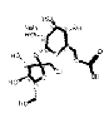 O=C(O)OC[C@H]1O[C@H](O[C@]2(CO)O[C@H](CO)[C@@H](O)[C@@H]2O)[C@H](O)[C@@H](O)[C@@H]1O.[NaH]